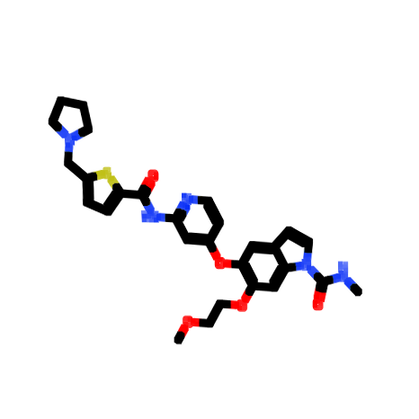 CNC(=O)n1ccc2cc(Oc3ccnc(NC(=O)c4ccc(CN5CCCC5)s4)c3)c(OCCOC)cc21